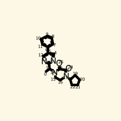 CC(c1ncc(-c2ccccc2)cn1)N1CCN(C2CCCC2)C(=O)C1=O